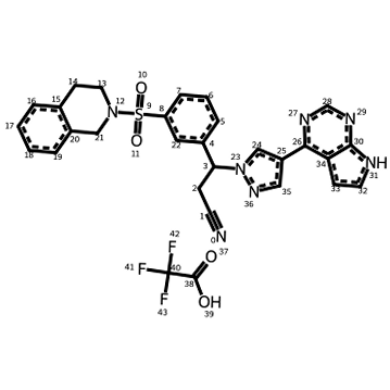 N#CCC(c1cccc(S(=O)(=O)N2CCc3ccccc3C2)c1)n1cc(-c2ncnc3[nH]ccc23)cn1.O=C(O)C(F)(F)F